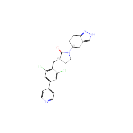 O=C1[C@H](Cc2c(Cl)cc(-c3ccncc3)cc2Cl)CCN1[C@H]1CCc2n[nH]cc2C1